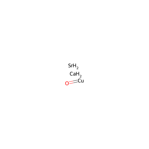 [CaH2].[O]=[Cu].[SrH2]